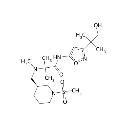 CN(C[C@@H]1CCCN(S(C)(=O)=O)C1)C(C)(C)C(=O)Nc1cc(C(C)(C)CO)no1